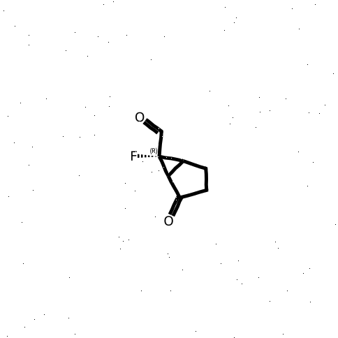 O=C[C@@]1(F)C2CCC(=O)C21